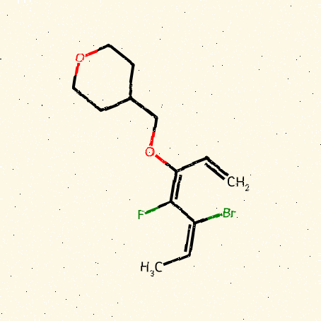 C=C/C(OCC1CCOCC1)=C(F)\C(Br)=C/C